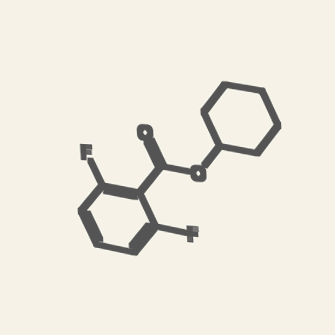 O=C(OC1CCCCC1)c1c(F)cccc1F